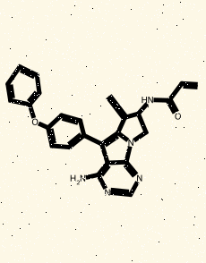 C=CC(=O)NC1Cn2c(c(-c3ccc(Oc4ccccc4)cc3)c3c(N)ncnc32)C1=C